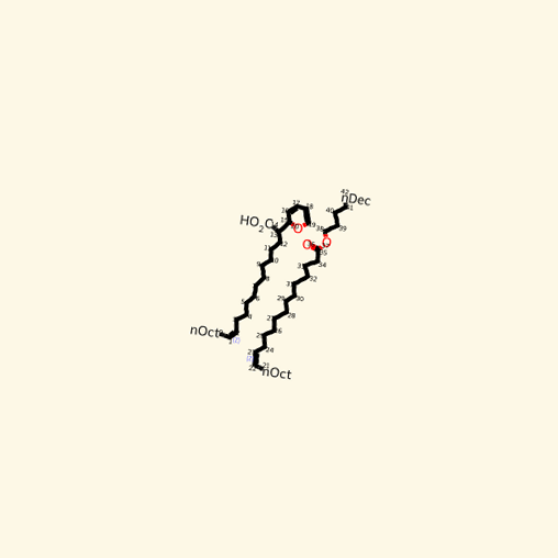 CCCCCCCC/C=C\CCCCCCCCCCC(C(=O)O)C1C=CC=CO1.CCCCCCCC/C=C\CCCCCCCCCCCC(=O)OCCCCCCCCCCCCCC